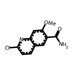 COc1cc2nc(Cl)ccc2cc1C(N)=O